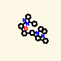 c1ccc(-c2nc(-c3cccc4c3oc3c(-c5ccc6c(c5)c5ccc7c8ccccc8n(-c8ccccc8)c7c5n6-c5ccccc5)cccc34)nc3ccccc23)cc1